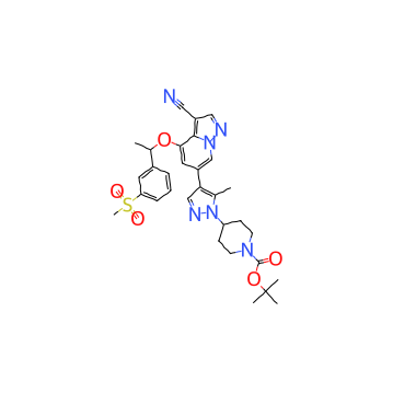 Cc1c(-c2cc(OC(C)c3cccc(S(C)(=O)=O)c3)c3c(C#N)cnn3c2)cnn1C1CCN(C(=O)OC(C)(C)C)CC1